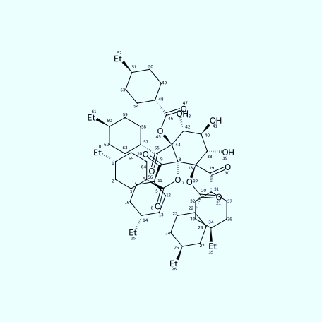 CC[C@H]1CC[C@H](C(=O)O[C@@]2(C(=O)[C@H]3CC[C@H](CC)CC3)[C@@](OC(=O)[C@H]3CC[C@H](CC)CC3)(C(=O)[C@H]3CC[C@H](CC)CC3)[C@@H](O)[C@H](O)[C@@H](O)[C@@]2(OC(=O)[C@H]2CC[C@H](CC)CC2)C(=O)[C@H]2CC[C@H](CC)CC2)CC1